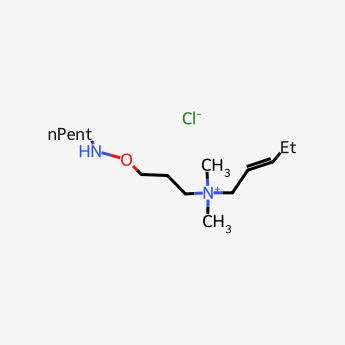 CCC=CC[N+](C)(C)CCCONCCCCC.[Cl-]